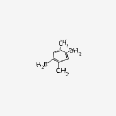 Bc1cc(C)c(B)cc1C